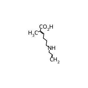 C=CCNCCCC=C(C)C(=O)O